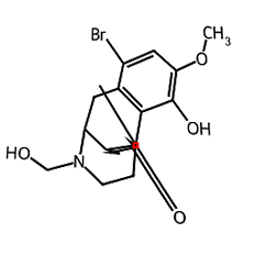 COc1cc(Br)c2c(c1O)C13CCN(CO)C(C2)C1CCC(=O)C3